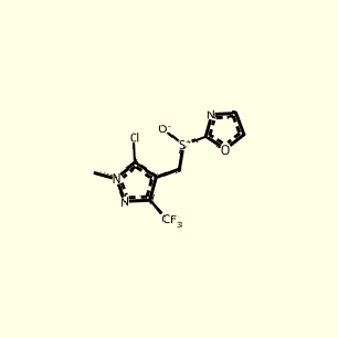 Cn1nc(C(F)(F)F)c(C[S+]([O-])c2ncco2)c1Cl